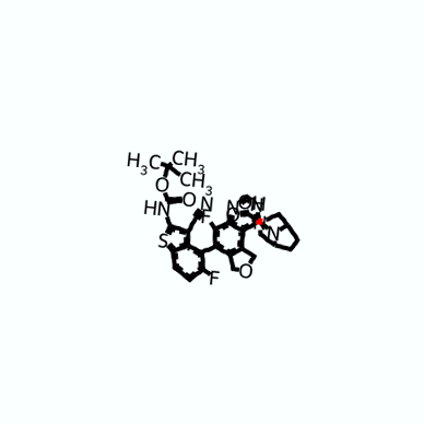 CC(C)(C)OC(=O)Nc1sc2ccc(F)c(-c3c4c(c5c(N6C7CCC6CN(C(=O)O)C7)ncnc5c3F)COC4)c2c1C#N